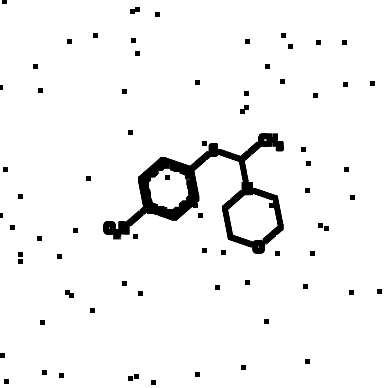 CC(Sc1ccc([N+](=O)[O-])cc1)N1CCOCC1